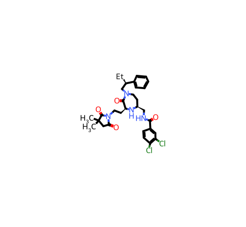 CC[C@H](CN1CC[C@@H](CNC(=O)c2ccc(Cl)c(Cl)c2)N[C@@H](CCN2C(=O)CC(C)(C)C2=O)C1=O)c1ccccc1